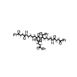 CC(C)C(=O)CCC(=O)NCCCCC(NC(=O)CCC(=O)C(C)C)C(=O)NC(CCCCNC(=O)CCC(=O)C(C)C)C(=O)C(C)C